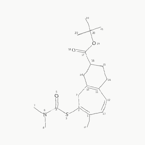 CC1=C(SC(=O)N(C)C)CC2=C(C=C1)CCC(C(=O)OC(C)(C)C)C2